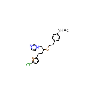 CC(=O)Nc1ccc(CCSC(CCc2ccc(Cl)s2)Cn2ccnc2)cc1